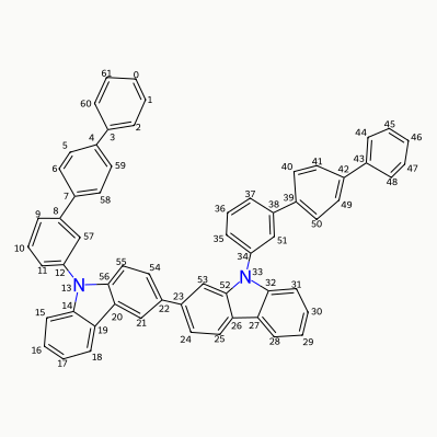 c1ccc(-c2ccc(-c3cccc(-n4c5ccccc5c5cc(-c6ccc7c8ccccc8n(-c8cccc(-c9ccc(-c%10ccccc%10)cc9)c8)c7c6)ccc54)c3)cc2)cc1